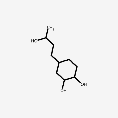 CC(O)CCC1CCC(O)C(O)C1